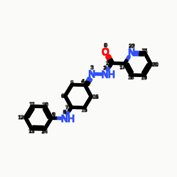 O=C(NN=C1CCC(Nc2ccccc2)CC1)c1ccccn1